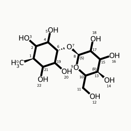 C[C@H]1C(O)C(O)[C@H](O[C@@H]2OC(CO)[C@H](O)C(O)C2O)C(O)C1O